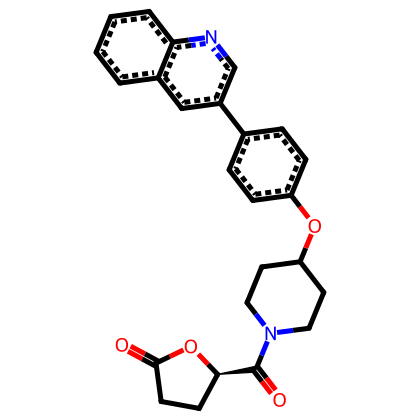 O=C1CC[C@H](C(=O)N2CCC(Oc3ccc(-c4cnc5ccccc5c4)cc3)CC2)O1